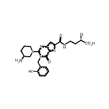 CC[C@H](CCNC(=O)c1cc2nc(N3CCCC(N)C3)n(Cc3ccccc3C#N)c(=O)c2s1)C(=O)O